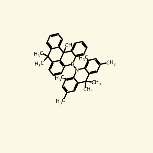 Cc1cc(C)c2c(c1)C(C)(C)c1cc(C)cc(C)c1N2B1c2ccccc2C2(C)c3ccccc3C(C)(C)c3cccc1c32